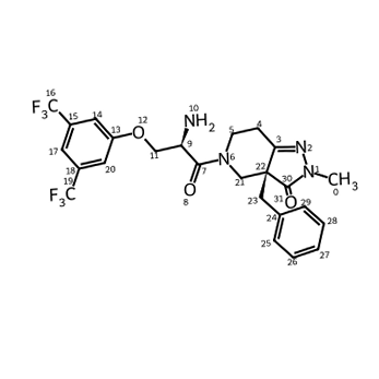 CN1N=C2CCN(C(=O)[C@H](N)COc3cc(C(F)(F)F)cc(C(F)(F)F)c3)C[C@@]2(Cc2ccccc2)C1=O